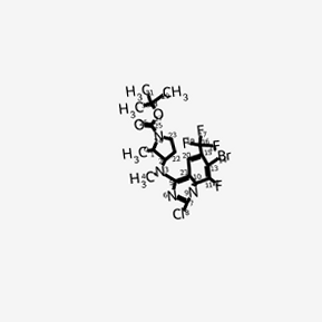 CC1C(N(C)c2nc(Cl)nc3c(F)c(Br)c(C(F)(F)F)cc23)CCN1C(=O)OC(C)(C)C